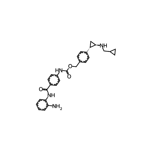 Nc1ccccc1NC(=O)c1ccc(NC(=O)OCc2ccc([C@@H]3C[C@H]3NCC3CC3)cc2)cc1